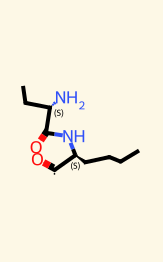 CCCC[C@@H]([C]=O)NC(=O)[C@@H](N)CC